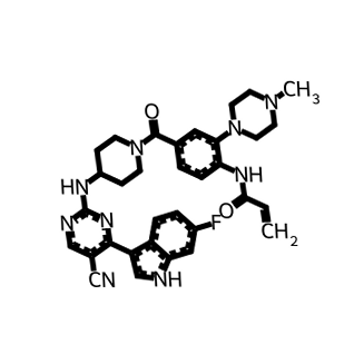 C=CC(=O)Nc1ccc(C(=O)N2CCC(Nc3ncc(C#N)c(-c4c[nH]c5cc(F)ccc45)n3)CC2)cc1N1CCN(C)CC1